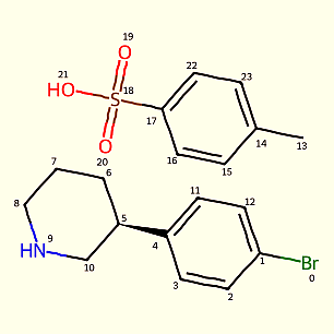 Brc1ccc([C@@H]2CCCNC2)cc1.Cc1ccc(S(=O)(=O)O)cc1